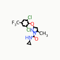 Cc1cc(Oc2c(Cl)cc(C(F)(F)F)cc2Cl)nn1C(=O)NC1CC1